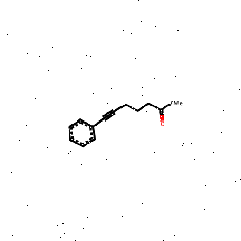 COC(=O)CCCC#Cc1ccccc1